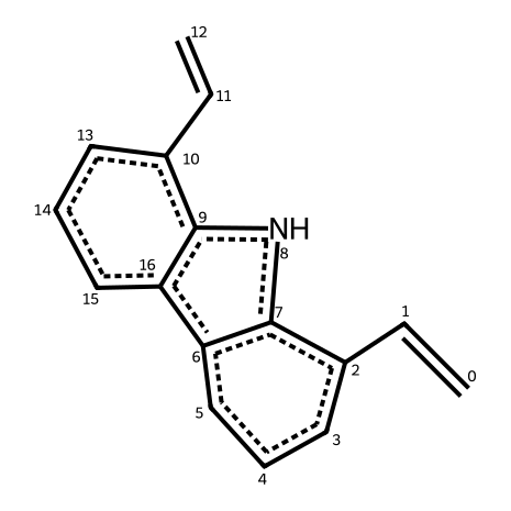 C=Cc1cccc2c1[nH]c1c(C=C)cccc12